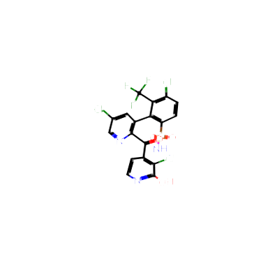 NS(=O)(=O)c1ccc(Cl)c(C(F)(F)F)c1-c1cc(Cl)cnc1C(=O)c1ccnc(O)c1Cl